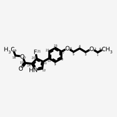 CCOCCCOc1ccc(-c2c[nH]c(C(=O)OCC)c2F)cc1